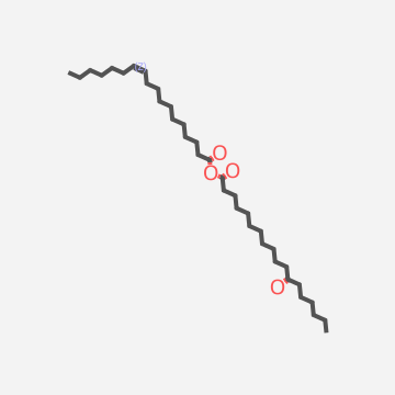 CCCCCC/C=C\CCCCCCCCCC(=O)OC(=O)CCCCCCCCCCC(=O)CCCCCC